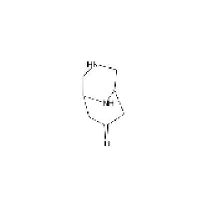 O=C1CC2CNCC(C1)N2